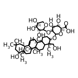 CC1(C)CC2C3=CCC4[C@@]5(C)CC[C@H](OC6O[C@H](C(=O)O)[C@@H](O)[C@H](O)[C@H]6OC6OC[C@H](O)[C@H](O)[C@H]6O)[C@](C)(CO)C5CC[C@@]4(C)[C@]3(C)CC[C@@]2(C)[C@H](O)C1